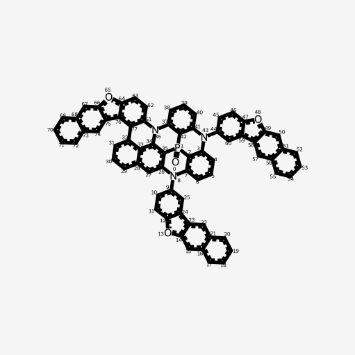 O=P12c3c4cccc3N(c3ccc5oc6cc7ccccc7cc6c5c3)c3cc5cccc6c5c(c31)N(c1cccc(c12)N4c1ccc2oc3cc4ccccc4cc3c2c1)c1ccc2oc3cc4ccccc4cc3c2c1-6